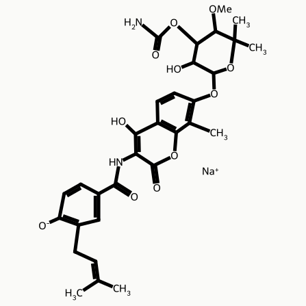 COC1C(OC(N)=O)C(O)C(Oc2ccc3c(O)c(NC(=O)c4ccc([O-])c(CC=C(C)C)c4)c(=O)oc3c2C)OC1(C)C.[Na+]